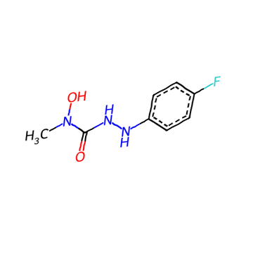 CN(O)C(=O)NNc1ccc(F)cc1